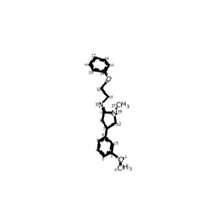 COc1cccc(C2CC(=NCCOc3ccccc3)N(C)C2)c1